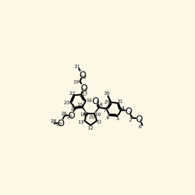 COCOc1ccc(C(=O)[C@H]2CCC[C@H]2c2cc(OCOC)ccc2OCOC)c(C)c1